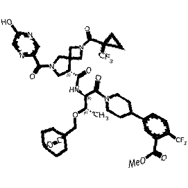 COC(=O)c1cc(C2CCN(C(=O)[C@H](NC(=O)[C@@H]3CN(C(=O)c4cnc(O)cn4)CC34CN(C(=O)C3(C(F)(F)F)CC3)C4)[C@H](C)OCC34CCC(CC3)OC4)CC2)ccc1C(F)(F)F